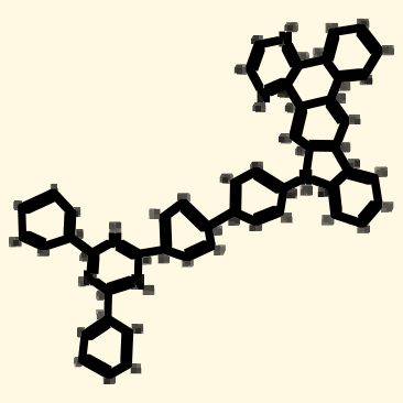 c1ccc(-c2nc(-c3ccccc3)nc(-c3ccc(-c4ccc(-n5c6ccccc6c6cc7c8ccccc8c8nccnc8c7cc65)cc4)cc3)n2)cc1